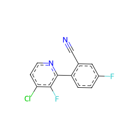 N#Cc1cc(F)ccc1-c1nccc(Cl)c1F